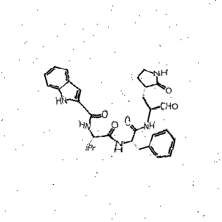 CC(C)[C@H](NC(=O)c1cc2ccccc2[nH]1)C(=O)N[C@@H](Cc1ccccc1)C(=O)N[C@H](C=O)C[C@@H]1CCNC1=O